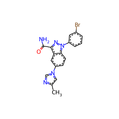 Cc1cn(-c2ccc3c(c2)c(C(N)=O)nn3-c2cccc(Br)c2)cn1